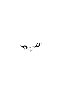 COc1ccc(CCNC(=O)N(S)c2ccc(C(N)=O)cc2)cc1Br